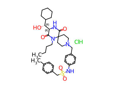 CCCCN1C(=O)[C@@H]([C@H](O)C2CCCCC2)NC(=O)C12CCN(Cc1ccc(NS(=O)(=O)Cc3ccc(C)cc3)cc1)CC2.Cl